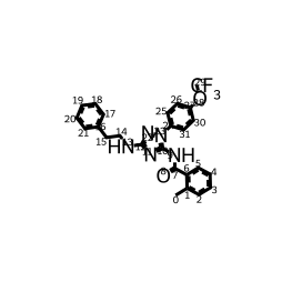 Cc1ccccc1C(=O)Nc1nc(NCCc2ccccc2)nn1-c1ccc(OC(F)(F)F)cc1